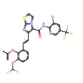 C=C(C)Oc1c(/C=C/c2nc3sccn3c2C(=O)Nc2ncc(C(F)(F)F)cc2Cl)cccc1OC(F)F